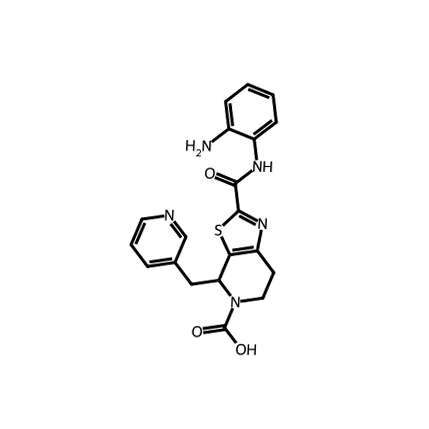 Nc1ccccc1NC(=O)c1nc2c(s1)C(Cc1cccnc1)N(C(=O)O)CC2